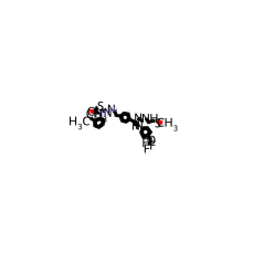 CSCCNc1nc(-c2ccc(C/C=N\N=C3/SCC(=O)N3c3ccccc3C(C)C)cc2)nn1-c1ccc(OC(F)(F)F)cc1